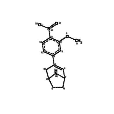 COc1cc(C2=CC3CCC(C2)N3)ccc1[N+](=O)[O-]